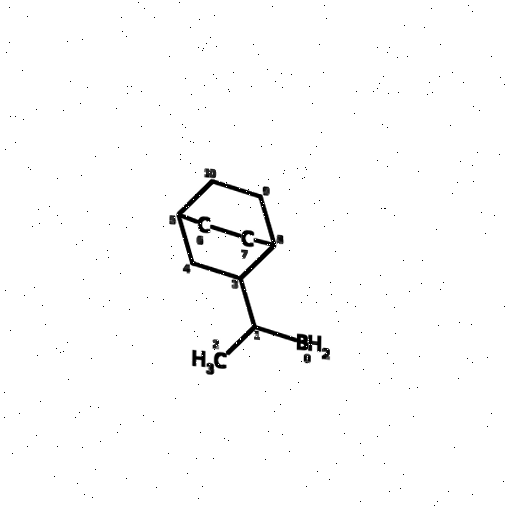 BC(C)C1CC2CCC1CC2